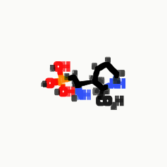 N=C(CP(=O)(O)O)[C@H]1CCCN[C@H]1C(=O)O